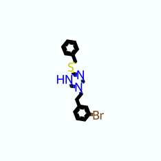 Brc1cccc(CCN2CN=C(SCc3ccccc3)NC2)c1